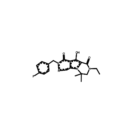 CCN1CC(C)(C)n2c(c(O)c3c(=O)n(Cc4ccc(F)cc4)ncc32)C1=O